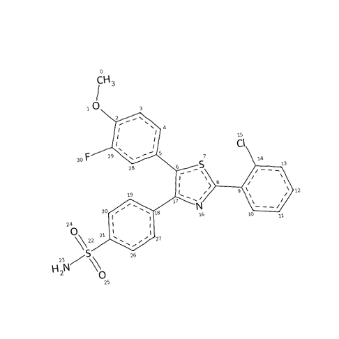 COc1ccc(-c2sc(-c3ccccc3Cl)nc2-c2ccc(S(N)(=O)=O)cc2)cc1F